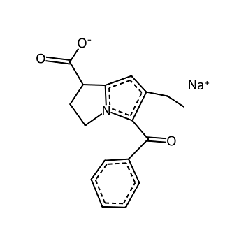 CCc1cc2n(c1C(=O)c1ccccc1)CCC2C(=O)[O-].[Na+]